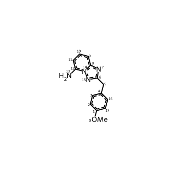 COc1ccc(Cc2nc3cccc(N)n3n2)cc1